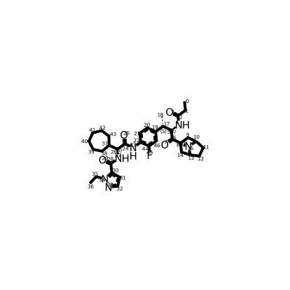 CCC(=O)N[C@@H](C(=O)C1CC2CCC(C1)N2C)[C@@H](C)c1ccc(NC(=O)[C@@H](NC(=O)c2ccnn2CC)C2CCCCCC2)c(F)c1